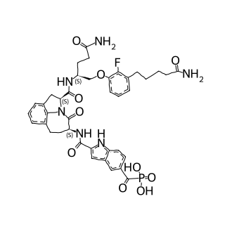 NC(=O)CCCCc1cccc(OC[C@H](CCC(N)=O)NC(=O)[C@@H]2Cc3cccc4c3N2C(=O)[C@@H](NC(=O)c2cc3cc(C(=O)P(=O)(O)O)ccc3[nH]2)CC4)c1F